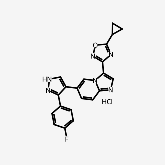 Cl.Fc1ccc(-c2n[nH]cc2-c2ccc3ncc(-c4noc(C5CC5)n4)n3c2)cc1